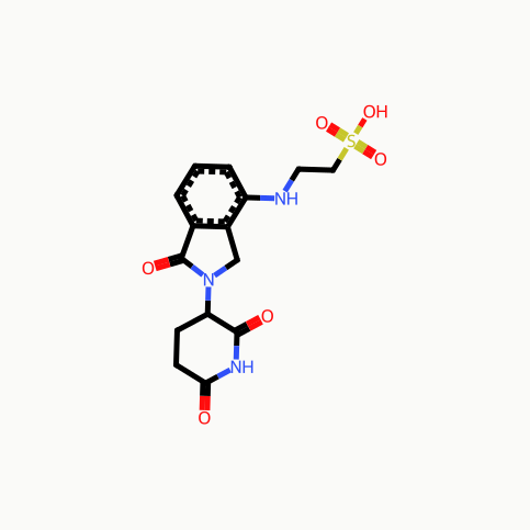 O=C1CCC(N2Cc3c(NCCS(=O)(=O)O)cccc3C2=O)C(=O)N1